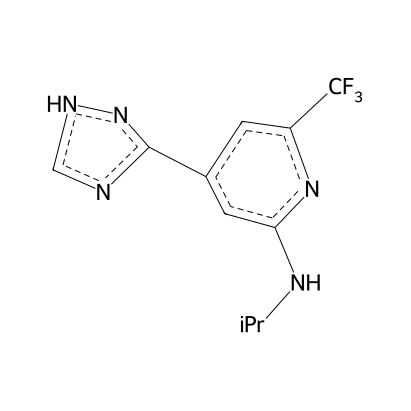 CC(C)Nc1cc(-c2nc[nH]n2)cc(C(F)(F)F)n1